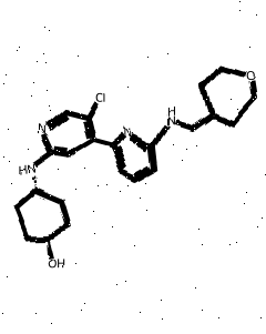 O[C@H]1CC[C@H](Nc2cc(-c3cccc(NCC4CCOCC4)n3)c(Cl)cn2)CC1